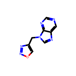 c1ncc2ncn(Cc3conn3)c2n1